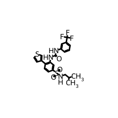 CC(C)CNS(=O)(=O)c1ccc(-c2ccsc2)c(NC(=O)Nc2cccc(C(F)(F)F)c2)c1